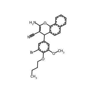 CCCCOc1c(Br)cc(C2C(C#N)=C(N)Oc3c2ccc2ccccc32)cc1OC